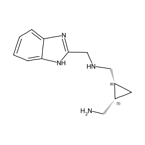 NC[C@H]1C[C@H]1CNCc1nc2ccccc2[nH]1